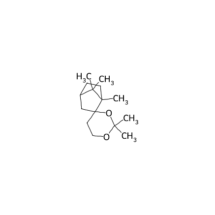 CC1(C)OCCC2(CC3CCC2(C)C3(C)C)O1